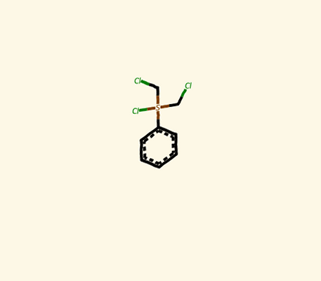 ClCS(Cl)(CCl)c1ccccc1